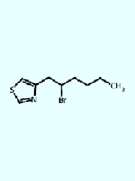 CCCCC(Br)Cc1cscn1